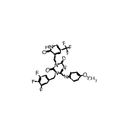 COc1ccc(Nc2nc(=O)n(Cc3cc(C(F)(F)F)c[nH]c3=O)c(=O)n2Cc2cc(F)c(F)c(F)c2)cc1